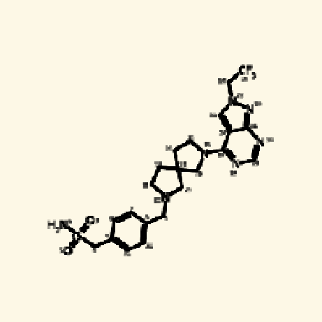 NS(=O)(=O)Cc1ccc(CN2CCC3(CCN(c4ncnc5nn(CC(F)(F)F)cc45)C3)C2)cc1